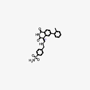 Cc1ccccc1-c1ccc2c(c1)/C(=C/NCc1ccc(S(N)(=O)=O)cc1)C(=O)NC2=O